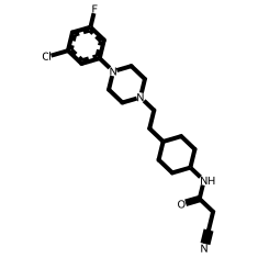 N#CCC(=O)NC1CCC(CCN2CCN(c3cc(F)cc(Cl)c3)CC2)CC1